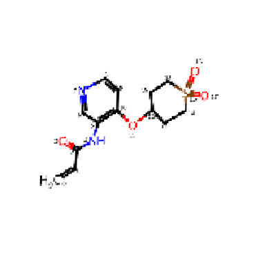 C=CC(=O)Nc1cnccc1OC1CCS(=O)(=O)CC1